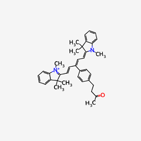 CC(=O)CCc1ccc(C(=C\C=C2\N(C)c3ccccc3C2(C)C)/C=C/C2=[N+](C)c3ccccc3C2(C)C)cc1